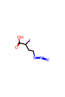 [N-]=[N+]=NCCC(I)C(=O)O